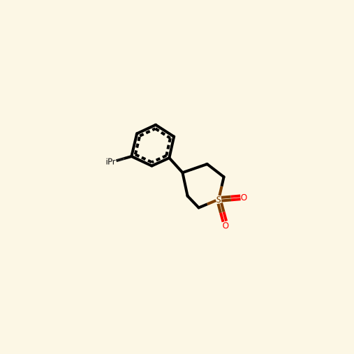 CC(C)c1cccc(C2CCS(=O)(=O)CC2)c1